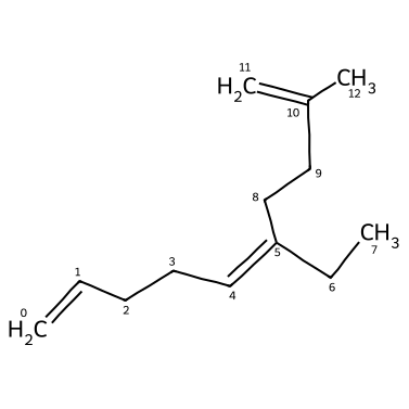 C=CCCC=C(CC)CCC(=C)C